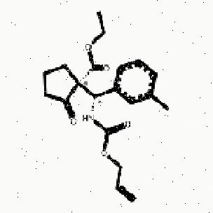 C=CCOC(=O)N[C@@H](c1cccc(C)c1)[C@]1(C(=O)OCC)CCCC1=O